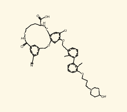 Cc1c(COc2cc3c(cc2Cl)CN[C@H](C(=O)O)CCCCNC(=O)c2cc(C#N)cc(c2)CO3)cccc1-c1cccc(OCCCN2CCC(O)CC2)c1C